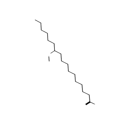 CCCCCCC(CCCCCCCCCC(=O)O)OC